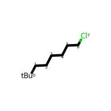 CC(C)(C)CCCCCCCl